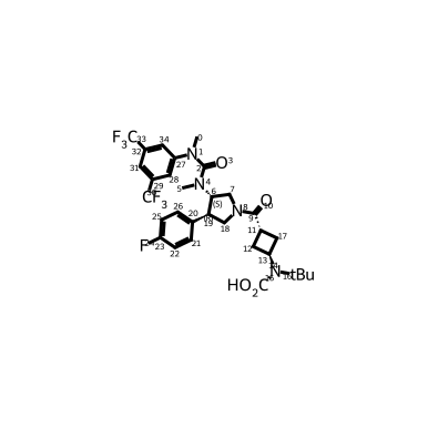 CN(C(=O)N(C)[C@@H]1CN(C(=O)[C@H]2C[C@H](N(C(=O)O)C(C)(C)C)C2)C[C@H]1c1ccc(F)cc1)c1cc(C(F)(F)F)cc(C(F)(F)F)c1